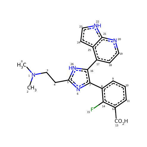 CN(C)CCc1nc(-c2cccc(C(=O)O)c2F)c(-c2ccnc3[nH]ccc23)[nH]1